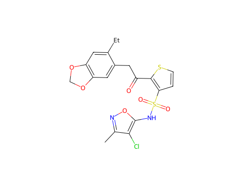 CCc1cc2c(cc1CC(=O)c1sccc1S(=O)(=O)Nc1onc(C)c1Cl)OCO2